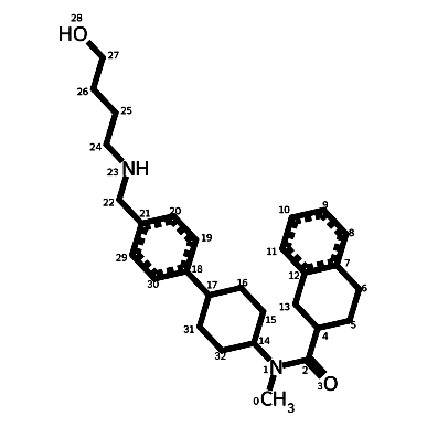 CN(C(=O)C1CCc2ccccc2C1)C1CCC(c2ccc(CNCCCCO)cc2)CC1